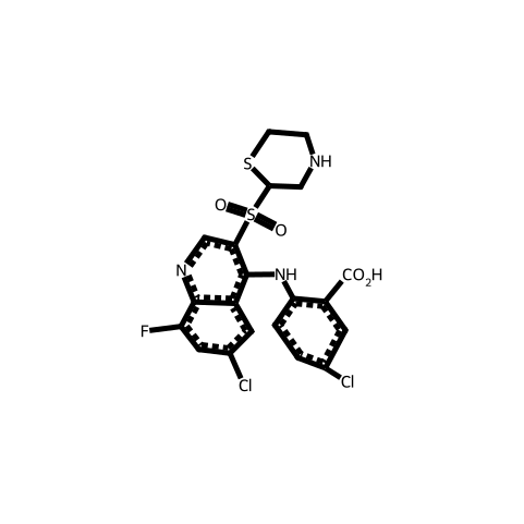 O=C(O)c1cc(Cl)ccc1Nc1c(S(=O)(=O)C2CNCCS2)cnc2c(F)cc(Cl)cc12